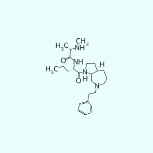 CCC[C@H](NC(=O)[C@H](C)NC)C(=O)N1CC[C@H]2CCCN(CCc3ccccc3)C[C@H]21